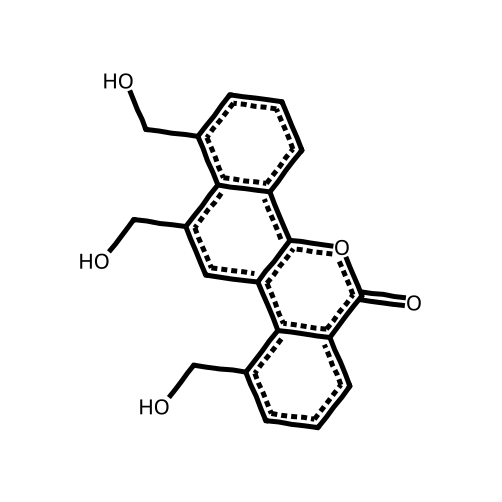 O=c1oc2c3cccc(CO)c3c(CO)cc2c2c(CO)cccc12